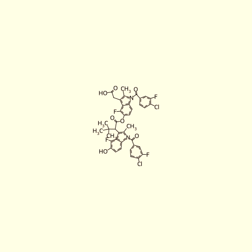 Cc1c(CC(=O)O)c2c(F)c(OC(=O)C(c3c(C)n(C(=O)c4ccc(Cl)c(F)c4)c4ccc(O)c(F)c34)C(C)(C)C)ccc2n1C(=O)c1ccc(Cl)c(F)c1